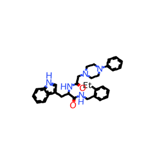 CCc1ccccc1CNC(=O)C(Cc1c[nH]c2ccccc12)NC(=O)CN1CCN(c2ccccc2)CC1